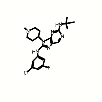 CN1CCC(n2c(Nc3cc(F)cc(Cl)c3)nc3cnc(NC(C)(C)C)nc32)CC1